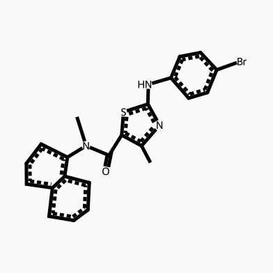 Cc1nc(Nc2ccc(Br)cc2)sc1C(=O)N(C)c1cccc2ccccc12